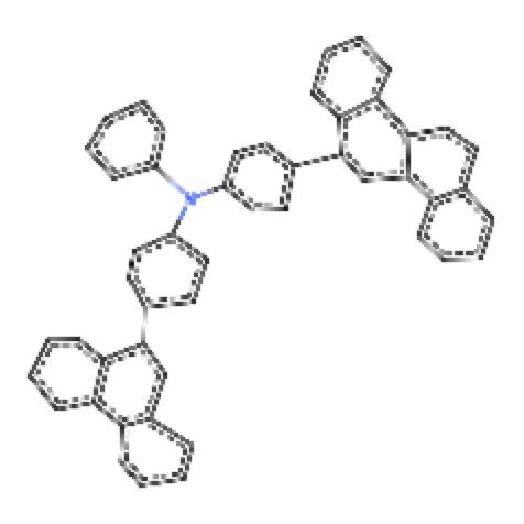 c1ccc(N(c2ccc(-c3cc4ccccc4c4ccccc34)cc2)c2ccc(-c3cc4c5ccccc5ccc4c4ccccc34)cc2)cc1